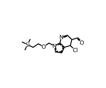 C[Si](C)(C)CCOCn1ccc2c1N=CC(C=O)C2Cl